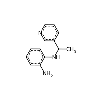 CC(Nc1ccccc1N)c1cccnc1